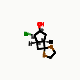 O[C@H]1C[C@@H]2[C@@H](CC23SCCS3)[C@@H]1Br